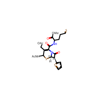 COC(=O)C(CCC=S)NC(=O)C1=C(COC(C)=O)C(NC(C)=O)S[C@@H]2[C@H](c3cccs3)C(=O)N12